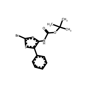 CC(C)(C)OC(=O)Nc1nc(Br)sc1-c1ccccc1